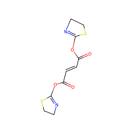 O=C(/C=C/C(=O)OC1=NCCS1)OC1=NCCS1